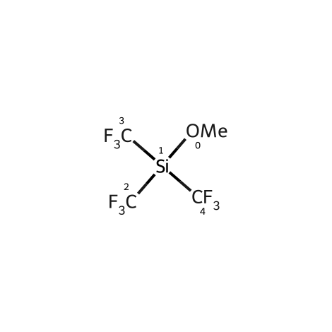 CO[Si](C(F)(F)F)(C(F)(F)F)C(F)(F)F